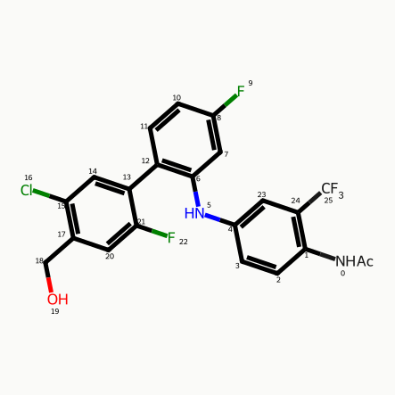 CC(=O)Nc1ccc(Nc2cc(F)ccc2-c2cc(Cl)c(CO)cc2F)cc1C(F)(F)F